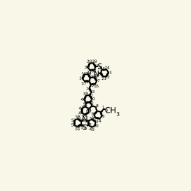 CCc1ccccc1CC1c2cc(/C=C/c3ccc(N4c5ccccc5Sc5ccccc54)c4ccccc34)ccc2C2C=CC(N3C4=C(CCC=C4)Sc4ccccc43)=CC21